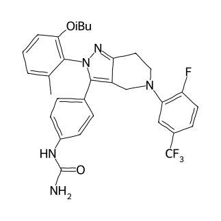 Cc1cccc(OCC(C)C)c1-n1nc2c(c1-c1ccc(NC(N)=O)cc1)CN(c1cc(C(F)(F)F)ccc1F)CC2